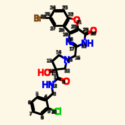 O=C(NCc1ccccc1Cl)C1(O)CCN(Cc2nc3c(oc4ccc(Br)cc43)c(=O)[nH]2)C1